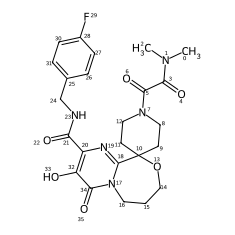 CN(C)C(=O)C(=O)N1CCC2(CC1)OCCCn1c2nc(C(=O)NCc2ccc(F)cc2)c(O)c1=O